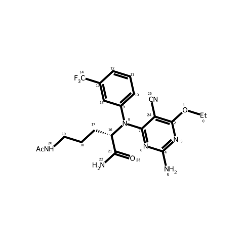 CCOc1nc(N)nc(N(c2cccc(C(F)(F)F)c2)[C@@H](CCCNC(C)=O)C(N)=O)c1C#N